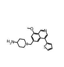 COc1cc(CN2CCC(N)CC2)cc2c(-c3cccs3)cncc12